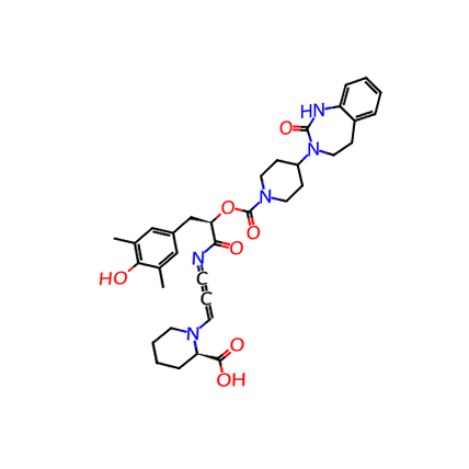 Cc1cc(C[C@@H](OC(=O)N2CCC(N3CCc4ccccc4NC3=O)CC2)C(=O)N=C=C=CN2CCCC[C@@H]2C(=O)O)cc(C)c1O